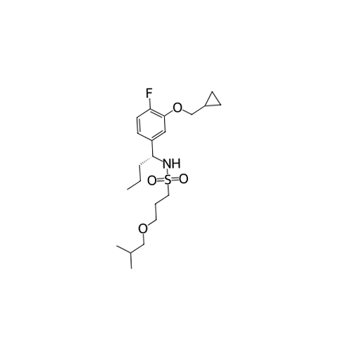 CCC[C@@H](NS(=O)(=O)CCCOCC(C)C)c1ccc(F)c(OCC2CC2)c1